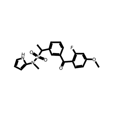 COc1ccc(C(=O)c2cccc(C(C)S(=O)(=O)N(C)c3ccc[nH]3)c2)c(F)c1